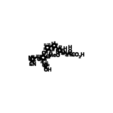 COc1nc(-c2cccc(-c3cccc(COc4cc(OCc5cncc(C#N)c5)c(CN5CC[C@@H](O)C5)cc4Cl)c3C)c2C)ccc1CNC[C@@H](O)CC(=O)O